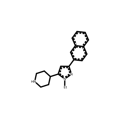 CCn1nc(-c2ccc3ccccc3c2)cc1C1CCNCC1